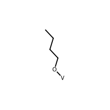 CCCC[O][V]